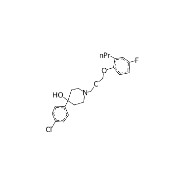 CCCc1cc(F)ccc1OCCCN1CCC(O)(c2ccc(Cl)cc2)CC1